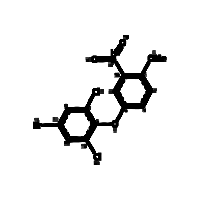 COc1ccc(Oc2c(Cl)cc(Br)cc2Cl)cc1[SH](=O)=O